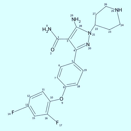 NC(=O)c1c(-c2ccc(Oc3ccc(F)cc3F)cc2)nn(C2CCNCC2)c1N